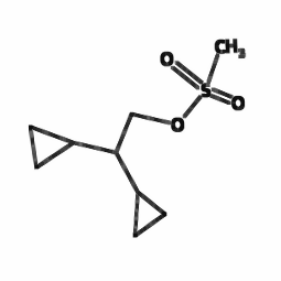 CS(=O)(=O)OCC(C1CC1)C1CC1